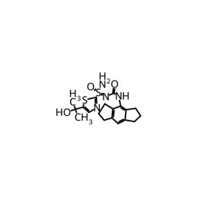 CC(C)(O)c1cnc(S(N)(=O)=NC(=O)Nc2c3c(cc4c2CCC4)CCC3)s1